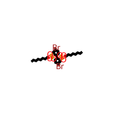 CCCCCCCCOS(=O)(=O)c1cc(Br)ccc1-c1ccc(Br)cc1S(=O)(=O)OCCCCCCCC